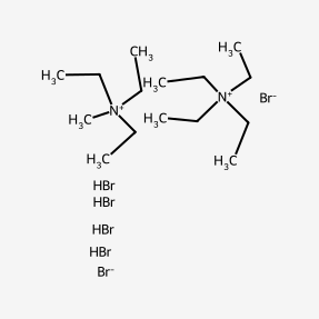 Br.Br.Br.Br.CC[N+](C)(CC)CC.CC[N+](CC)(CC)CC.[Br-].[Br-]